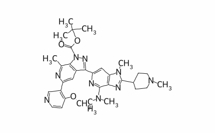 COc1ccncc1-c1cc2c(-c3cc4c(nc(C5CCN(C)CC5)n4C)c(N(C)C)n3)nn(C(=O)OC(C)(C)C)c2c(C)n1